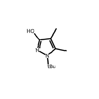 Cc1c(O)nn(C(C)(C)C)c1C